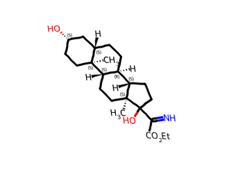 CCOC(=O)C(=N)C1(O)CC[C@H]2[C@@H]3CC[C@H]4C[C@@H](O)CC[C@]4(C)[C@H]3CC[C@@]21C